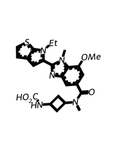 CCn1c(-c2nc3cc(C(=O)N(C)C4CC(NC(=O)O)C4)cc(OC)c3n2C)cc2ccsc21